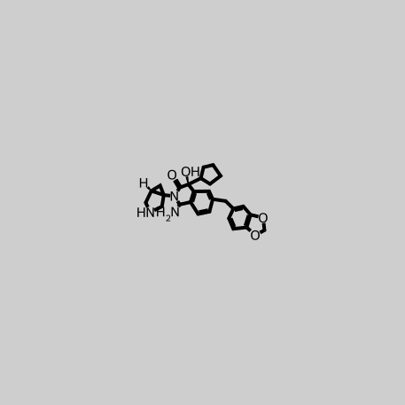 NC1c2ccc(Cc3ccc4c(c3)OCO4)cc2[C@@](O)(C2CCCC2)C(=O)N1C12CNC[C@@H]1C2